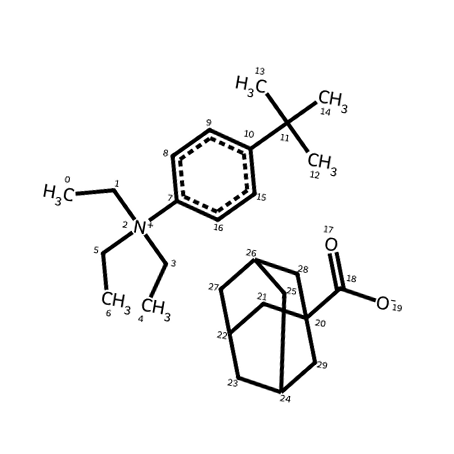 CC[N+](CC)(CC)c1ccc(C(C)(C)C)cc1.O=C([O-])C12CC3CC(CC(C3)C1)C2